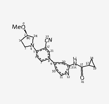 CO[C@@H]1CCN(c2ccc(-c3ccnc(NC(=O)C4CC4)c3)cc2C#N)C1